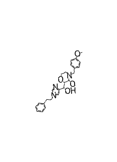 COc1ccc(CN2CCOC(C(O)c3cn(CCc4ccccc4)cn3)C2=O)cc1